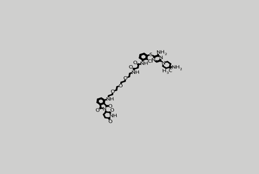 CC1(N)CCN(c2cnc(Sc3cccc(NC(=O)CC(=O)NCCOCCOCCOCCNc4cccc5c4C(=O)N(C4CCC(=O)NC4=O)C5=O)c3Cl)c(N)n2)CC1